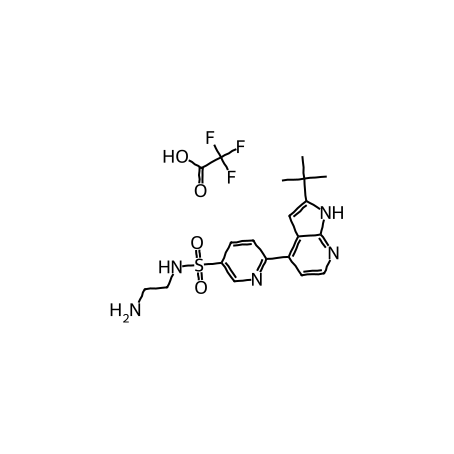 CC(C)(C)c1cc2c(-c3ccc(S(=O)(=O)NCCN)cn3)ccnc2[nH]1.O=C(O)C(F)(F)F